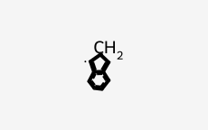 C=C1[C]=c2ccccc2=C1